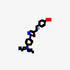 CN(C)c1ccc(-c2ncc(/C=C/c3ccc(O)cc3)s2)cc1